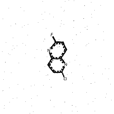 Fc1ccc2nc(Cl)ccc2n1